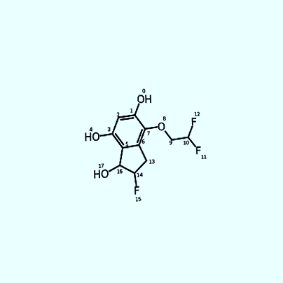 Oc1cc(O)c2c(c1OCC(F)F)CC(F)C2O